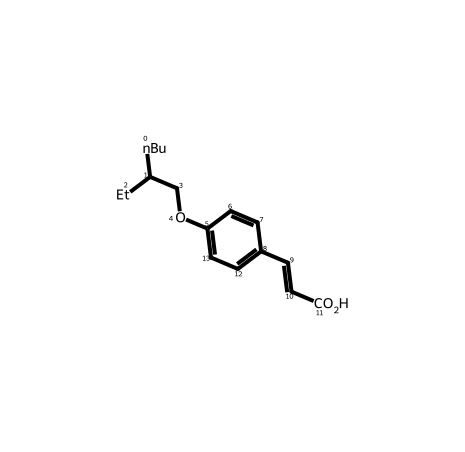 CCCCC(CC)COc1ccc(C=CC(=O)O)cc1